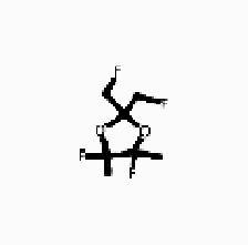 CC1(F)OC(CF)(CF)OC1(C)F